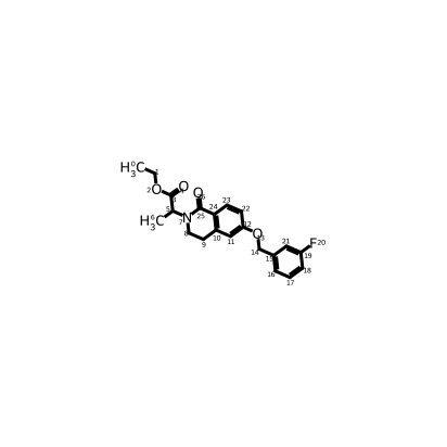 CCOC(=O)C(C)N1CCc2cc(OCc3cccc(F)c3)ccc2C1=O